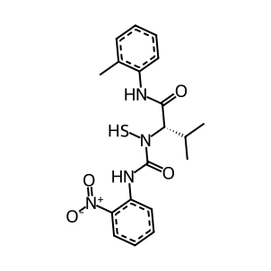 Cc1ccccc1NC(=O)[C@H](C(C)C)N(S)C(=O)Nc1ccccc1[N+](=O)[O-]